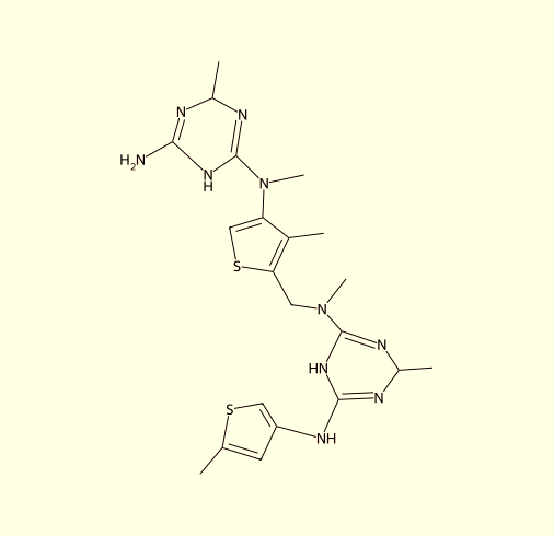 Cc1cc(NC2=NC(C)N=C(N(C)Cc3scc(N(C)C4=NC(C)N=C(N)N4)c3C)N2)cs1